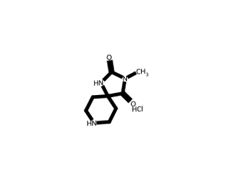 CN1C(=O)NC2(CCNCC2)C1=O.Cl